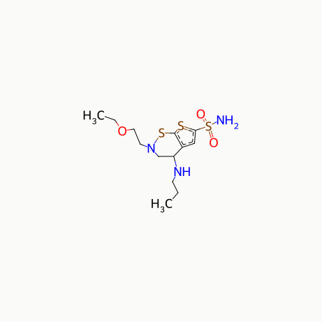 CCCNC1CN(CCOCC)Sc2sc(S(N)(=O)=O)cc21